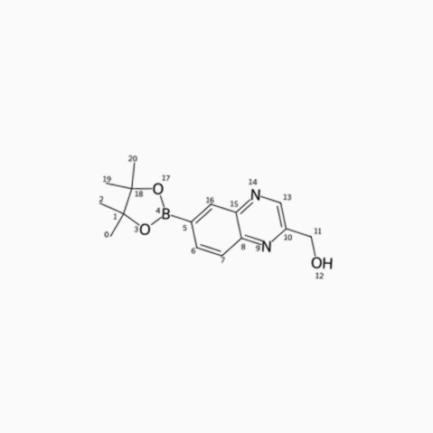 CC1(C)OB(c2ccc3nc(CO)cnc3c2)OC1(C)C